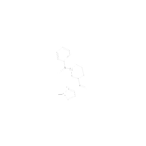 Cn1ccc(C(=O)C2CCCN(C(=O)c3ccccc3)C2)n1